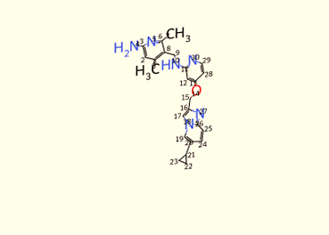 Cc1cc(N)nc(C)c1CNc1cc(OCc2cn3cc(C4CC4)ccc3n2)ccn1